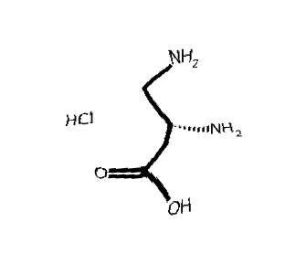 Cl.NC[C@H](N)C(=O)O